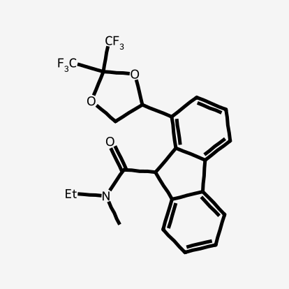 CCN(C)C(=O)C1c2ccccc2-c2cccc(C3COC(C(F)(F)F)(C(F)(F)F)O3)c21